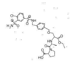 CCOC(=O)C(COCc1ccc(CNS(=O)(=O)c2ccc(Cl)c(S(N)(=O)=O)c2)cc1)N[C@@H](C)C(=O)N1CCC[C@H]1C(=O)O